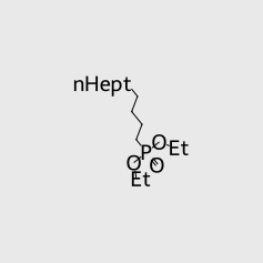 CCCCCCCCCCCP(=O)(OCC)OCC